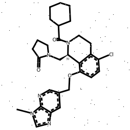 Cn1cnc2cc(COc3ccc(Cl)c4c3[C@@H](CN3CCCC3=O)N(C(=O)C3CCCCC3)CC4)cnc21